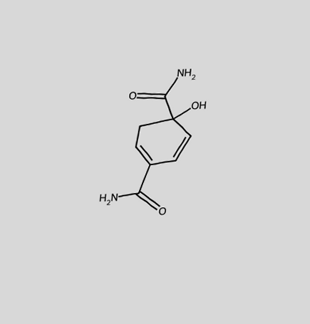 NC(=O)C1=CCC(O)(C(N)=O)C=C1